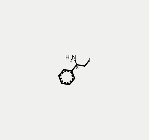 N[C@@H](CI)c1ccccc1